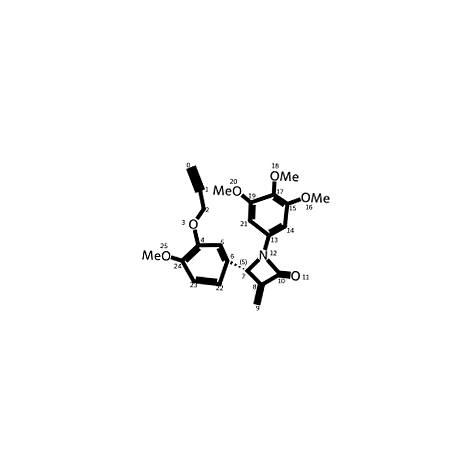 C#CCOc1cc([C@H]2C(=C)C(=O)N2c2cc(OC)c(OC)c(OC)c2)ccc1OC